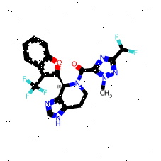 Cn1nc(C(F)F)nc1C(=O)N1CCc2[nH]cnc2[C@H]1c1oc2ccccc2c1C(F)(F)F